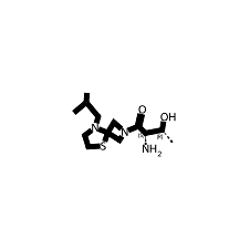 CC(C)CN1CCSC12CN(C(=O)[C@@H](N)[C@@H](C)O)C2